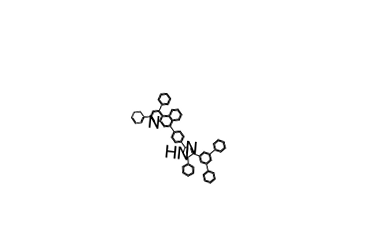 C1=CCCC(c2cc(-c3ccccc3)c3c(cc(-c4ccc(C5N=C(c6cc(-c7ccccc7)cc(-c7ccccc7)c6)C(c6ccccc6)N5)cc4)c4ccccc43)n2)=C1